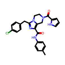 Cc1ccc(NC(=O)c2nc(Cc3ccc(Cl)cc3)n3c2CN(C(=O)c2ccc[nH]2)CC3)cc1